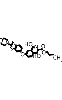 CCCCOC(=O)c1nc(O)c2cc(Oc3ccc4nc(N5CCOCC5)sc4c3)ccc2c1O